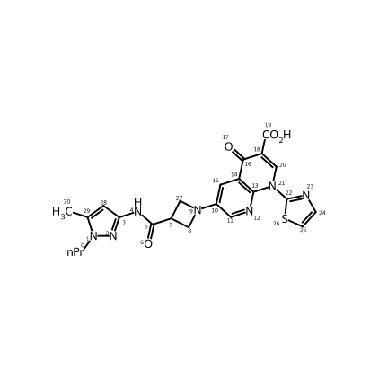 CCCn1nc(NC(=O)C2CN(c3cnc4c(c3)c(=O)c(C(=O)O)cn4-c3nccs3)C2)cc1C